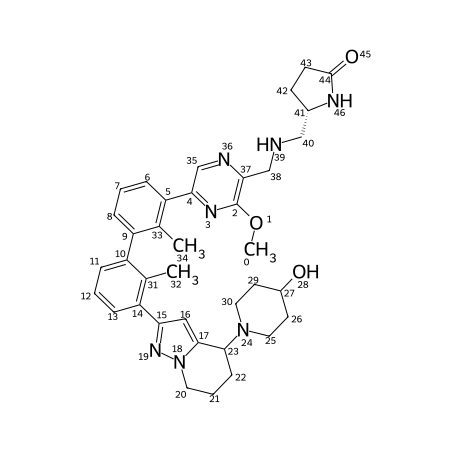 COc1nc(-c2cccc(-c3cccc(-c4cc5n(n4)CCCC5N4CCC(O)CC4)c3C)c2C)cnc1CNC[C@@H]1CCC(=O)N1